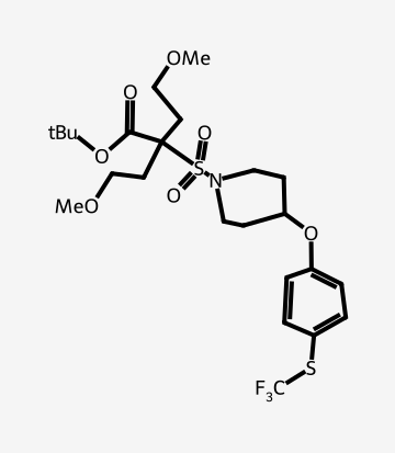 COCCC(CCOC)(C(=O)OC(C)(C)C)S(=O)(=O)N1CCC(Oc2ccc(SC(F)(F)F)cc2)CC1